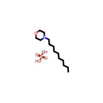 CCCCCCCCCCN1CCOCC1.O=S(=O)(O)O